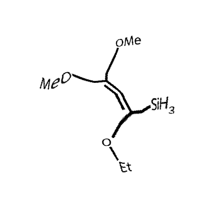 CCOC([SiH3])=C(OC)OC